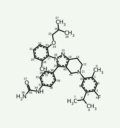 Cc1cc(F)c(C(C)C)cc1N1CCc2nn(-c3c(C)cccc3OCC(C)C)c(-c3ccc(NC(N)=O)cc3)c2C1